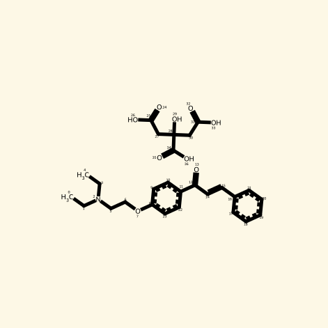 CCN(CC)CCOc1ccc(C(=O)/C=C/c2ccccc2)cc1.O=C(O)CC(O)(CC(=O)O)C(=O)O